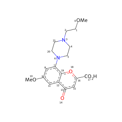 COCCN1CCN(c2cc(OC)cc3c(=O)cc(C(=O)O)oc23)CC1